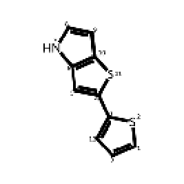 c1csc(-c2cc3[nH]ccc3s2)c1